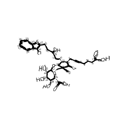 CC1(C)C(=O)[C@H](CC#CCCCC(=O)O)[C@@H](/C=C/C(O)CCc2sc3ccccc3c2Cl)[C@@H]1OC1O[C@H](C(=O)O)[C@@H](O)[C@H](O)[C@H]1O